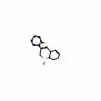 CC[C@]12C=C[C@@H](OC(C)=O)C[C@@H]1N(C)Cc1c2sc2ccccc12